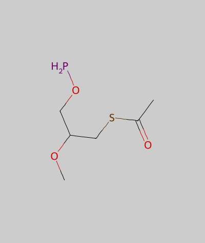 COC(COP)CSC(C)=O